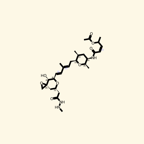 CNNC(=O)C[C@@H]1C[C@@]2(CO2)[C@H](O)[C@@H](/C=C/C(C)=C/C[C@@H]2O[C@H](C)[C@H](NC(=O)/C=C\C(C)OC(C)=O)C[C@@H]2C)O1